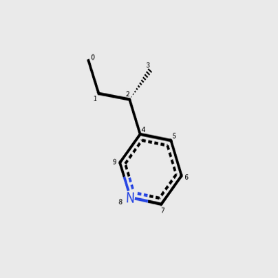 CC[C@H](C)c1cccnc1